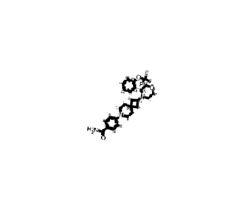 NC(=O)c1ccc(N2CCC3(CC2)CC(N2CCOC[C@H]2c2ccccc2OC(F)(F)F)C3)cc1